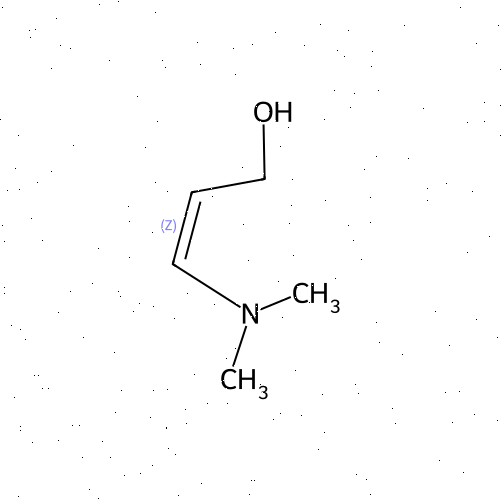 CN(C)/C=C\CO